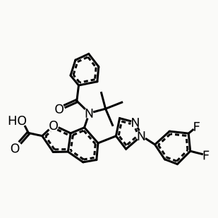 CC(C)(C)N(C(=O)c1ccccc1)c1c(-c2cnn(-c3ccc(F)c(F)c3)c2)ccc2cc(C(=O)O)oc12